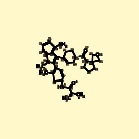 C=C(C)C(=O)Nc1ccc(-c2c(C3=CC[C@@H](C(=O)N4CCCC45COC5)CC3)c3c(N)ncnc3n2C)c(C)c1